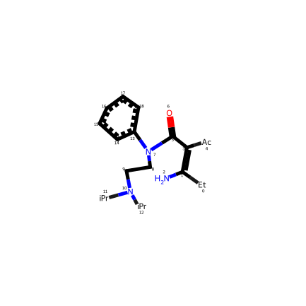 CCC(N)=C(C(C)=O)C(=O)N(CCN(C(C)C)C(C)C)c1ccccc1